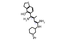 CC(/C=C(\N)NC1CCCN(C(C)C)C1)=C(/N)c1ccc2c(c1O)CCS2